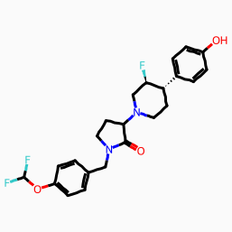 O=C1C(N2CC[C@@H](c3ccc(O)cc3)[C@H](F)C2)CCN1Cc1ccc(OC(F)F)cc1